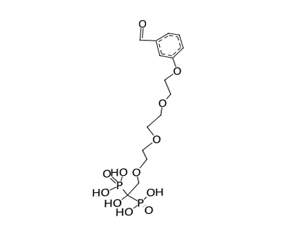 O=Cc1cccc(OCCOCCOCCOCC(O)(P(=O)(O)O)P(=O)(O)O)c1